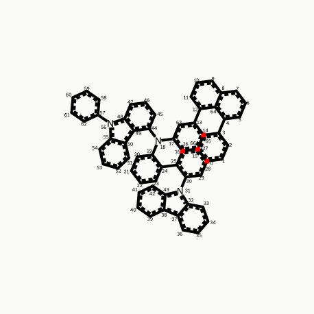 c1ccc(-c2cccc3cccc(-c4cccc(N(c5ccccc5-c5ccccc5-n5c6ccccc6c6ccccc65)c5cccc6c5c5ccccc5n6-c5ccccc5)c4)c23)cc1